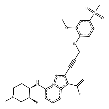 C=C(F)c1c(C#CCNc2ccc(S(C)(=O)=O)cc2OC)nn2c(N[C@@H]3CCN(C)C[C@@H]3F)cccc12